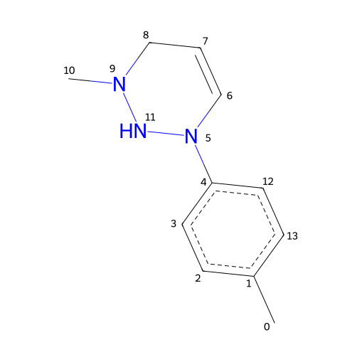 Cc1ccc(N2C=CCN(C)N2)cc1